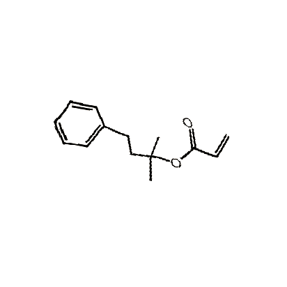 C=CC(=O)OC(C)(C)CCc1ccccc1